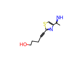 CC(=N)c1csc(C#CCCCO)n1